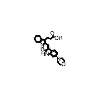 O=C(O)CCc1c(/C=C2\C(=O)Nc3cc(N4CCOCC4)ccc32)[nH]c2c1CCCC2